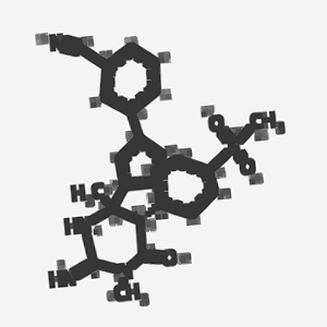 CN1C(=N)N[C@](C)(c2cc(-c3cccc(C#N)c3)cs2)[C@H](c2ccc(S(C)(=O)=O)cc2)C1=O